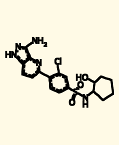 Nc1n[nH]c2ccc(-c3ccc(S(=O)(=O)NC4CCCCC4O)cc3Cl)nc12